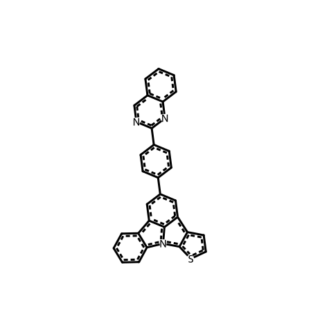 c1ccc2nc(-c3ccc(-c4cc5c6ccccc6n6c7sccc7c(c4)c56)cc3)ncc2c1